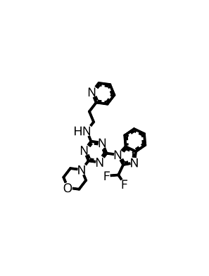 FC(F)c1nc2ccccc2n1-c1nc(NCCc2ccccn2)nc(N2CCOCC2)n1